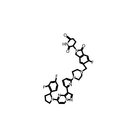 O=C1CCC(N2Cc3cc(CN4CCN(c5cccc(-c6cnn7ccc(N8CCCC8c8ccc(F)cc8F)nc67)n5)CC4)c(F)cc3C2=O)C(=O)N1